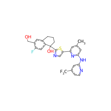 Cc1cc(Nc2cc(C(F)(F)F)ccn2)nc(-c2cnc(C3(O)CCCc4cc(CO)c(F)cc43)s2)c1